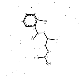 CCC(COP(O)O)CC(CC)c1ccccc1C(C)(C)C